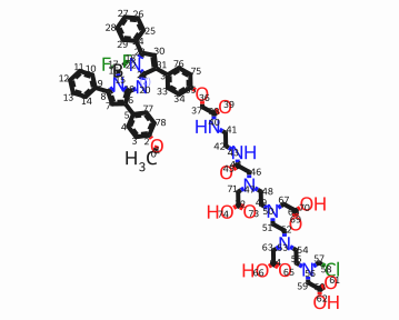 COc1ccc(-c2cc(-c3ccccc3)n(B(F)F)c2/N=C2\N=C(c3ccccc3)C=C2c2ccc(OCC(=O)NCCNC(=O)CN(CCN(CCN(CCN(CCl)CC(=O)O)CC(=O)O)CC(=O)O)CC(=O)O)cc2)cc1